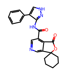 O=C(Nc1n[nH]cc1-c1ccccc1)c1cncc2c1C(=O)OC21CCCCC1